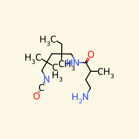 CCC(C)(CNC(=O)C(C)CCN)CC(C)(C)CN=C=O